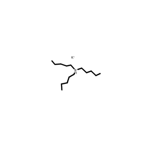 CCCCC[BH-](CCCCC)CCCCC.[K+]